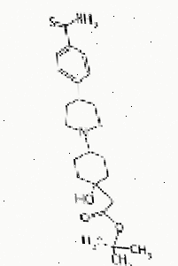 CC(C)(C)OC(=O)CC1(O)CCC(N2CCC(c3ccc(C(N)=S)cc3)CC2)CC1